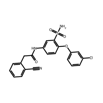 N#Cc1ccccc1CC(=O)Nc1ccc(Oc2cccc(Cl)c2)c(S(N)(=O)=O)c1